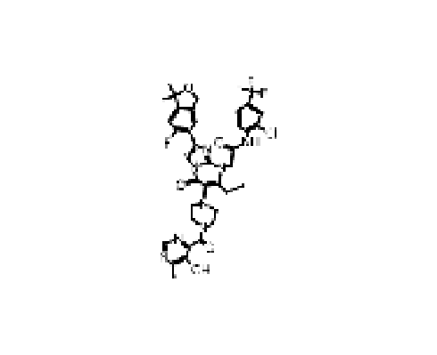 CCc1c(N2CCN(C(=O)c3ncnc(C)c3O)CC2)c(=O)n2nc(-c3cc4c(cc3F)C(C)(C)OC4)nc2n1CC(=O)Nc1ccc(C(F)(F)F)cc1Cl